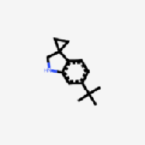 CC(C)(C)c1ccc2c(c1)NCC21CC1